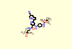 CC(C)(C)OC(=O)N[C@H]1CC[C@H](Nc2cc(-c3ccc4cc(C#N)cnn34)ncc2C(=O)NC[C@@H](F)C(C)(C)O)CC1